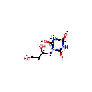 O=c1[nH]c(=O)n(CC(O)CCO)c(=O)[nH]1